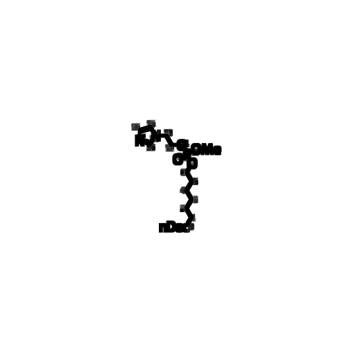 CCCCCCCCCCCCCCCCOP(=O)(OC)OCCn1ccnc1